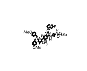 COc1ccc(CN(Cc2ccc(OC)cc2)c2cc(C)c(C(F)(F)F)c(-c3c(Cl)cc4c(NC5CC(NC(=O)OC(C)(C)C)C5)nc(OC[C@]56CCCN5C[C@H](F)C6)nc4c3F)n2)cc1